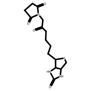 O=C(CCCCC1SCC2NC(=O)NC21)CN1C(=O)CCC1=O